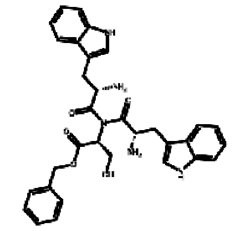 N[C@@H](Cc1c[nH]c2ccccc12)C(=O)N(C(=O)[C@@H](N)Cc1c[nH]c2ccccc12)[C@@H](CO)C(=O)OCc1ccccc1